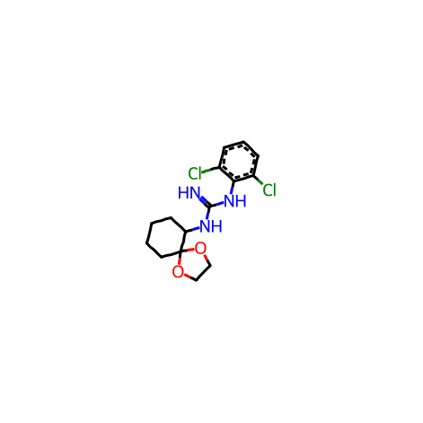 N=C(Nc1c(Cl)cccc1Cl)NC1CCCCC12OCCO2